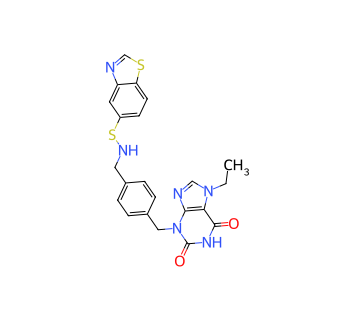 CCn1cnc2c1c(=O)[nH]c(=O)n2Cc1ccc(CNSc2ccc3scnc3c2)cc1